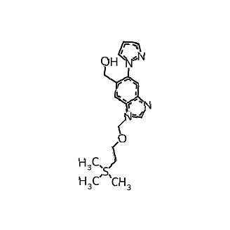 CS(C)(C)CCOCn1cnc2cc(-n3cccn3)c(CO)cc21